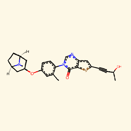 Cc1cc(OC2C[C@H]3CC[C@@H](C2)N3C)ccc1-n1cnc2cc(C#CC(C)O)sc2c1=O